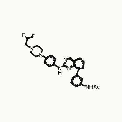 CC(=O)Nc1cccc(-c2cccc3cnc(Nc4ccc(N5CCN(CC(F)F)CC5)cc4)nc23)c1